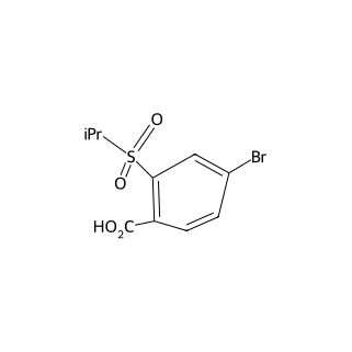 CC(C)S(=O)(=O)c1cc(Br)ccc1C(=O)O